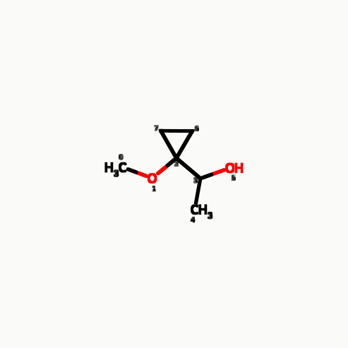 COC1(C(C)O)CC1